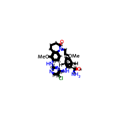 COCCN1C(=O)CCCc2c1ccc(Nc1ncc(Cl)c(N[C@@H]3[C@H](C(N)=O)[C@H]4C=C[C@@H]3C4)n1)c2OC